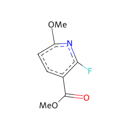 COC(=O)c1ccc(OC)nc1F